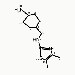 Cc1nc(NCC2CCC(N)CC2)sc1C